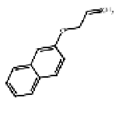 C=CCOc1[c]c2ccccc2cc1